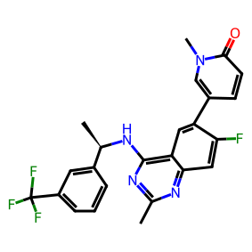 Cc1nc(N[C@H](C)c2cccc(C(F)(F)F)c2)c2cc(-c3ccc(=O)n(C)c3)c(F)cc2n1